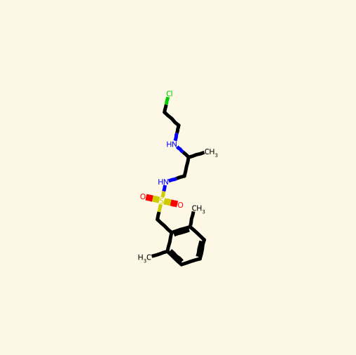 Cc1cccc(C)c1CS(=O)(=O)NCC(C)NCCCl